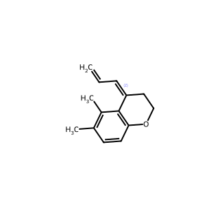 C=C/C=C1/CCOc2ccc(C)c(C)c21